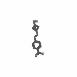 CCCCC12CC(SSc3ccc(C(=O)Cl)cc3)(C1)C2